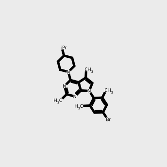 Cc1nc(N2CCC(C(C)C)CC2)c2c(C)cn(-c3c(C)cc(Br)cc3C)c2n1